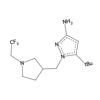 CC(C)(C)c1cc(N)nn1CC1CCN(CC(F)(F)F)C1